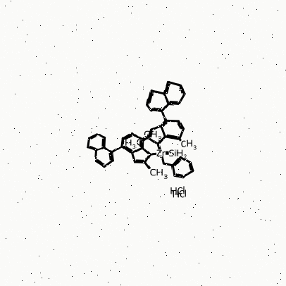 CC1=Cc2c(-c3cccc4ccccc34)ccc(C)c2[CH]1[Zr](=[SiH2])([CH2]c1ccccc1)[CH]1C(C)=Cc2c(-c3cccc4ccccc34)ccc(C)c21.Cl.Cl